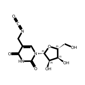 O=C=NCc1cn([C@@H]2O[C@H](CO)[C@@H](O)[C@H]2O)c(=O)[nH]c1=O